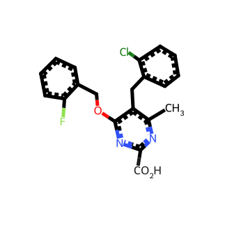 Cc1nc(C(=O)O)nc(OCc2ccccc2F)c1Cc1ccccc1Cl